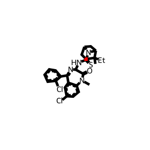 CCC1(C)CCC2CC1N2C(=S)NC1N=C(c2ccccc2Cl)c2cc(Cl)ccc2N(C)C1=O